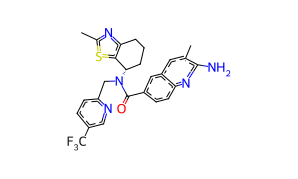 Cc1nc2c(s1)[C@@H](N(Cc1ccc(C(F)(F)F)cn1)C(=O)c1ccc3nc(N)c(C)cc3c1)CCC2